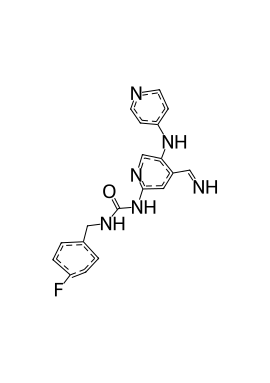 N=Cc1cc(NC(=O)NCc2ccc(F)cc2)ncc1Nc1ccncc1